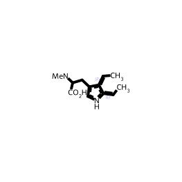 C/C=c1/c(CC(NC)C(=O)O)c[nH]/c1=C/C